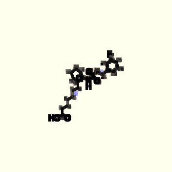 O=C(O)CCC/C=C/CC1C2CCC(O2)C1NS(=O)(=O)/C=C/c1cccc(F)c1